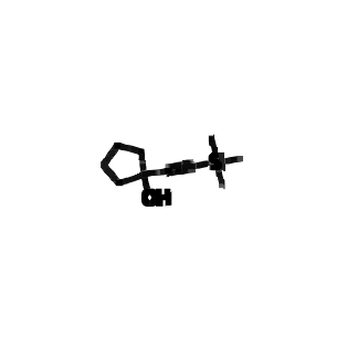 C[Si](C)(C)C#CC1(O)CCCC1